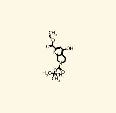 CCOC(=O)c1cc(O)c2c(n1)CN(C(=O)OC(C)(C)C)CC2